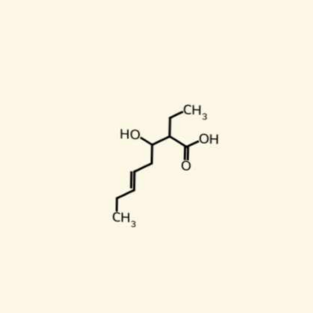 CCC=CCC(O)C(CC)C(=O)O